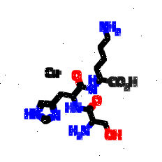 NCCCCC(NC(=O)C(Cc1c[nH]cn1)NC(=O)C(N)CO)C(=O)O.[Cu]